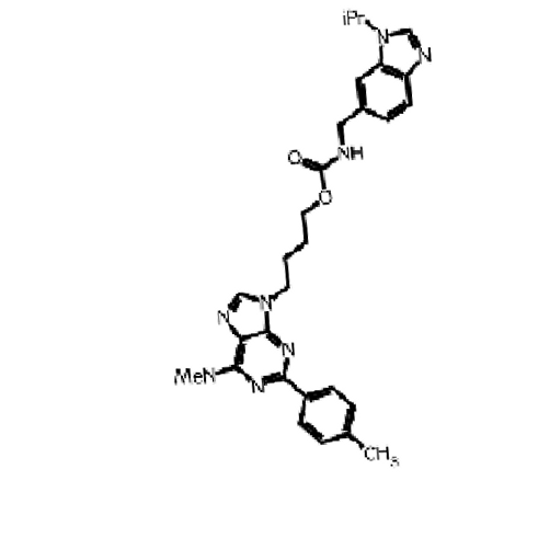 CNc1nc(-c2ccc(C)cc2)nc2c1ncn2CCCCOC(=O)NCc1ccc2ncn(C(C)C)c2c1